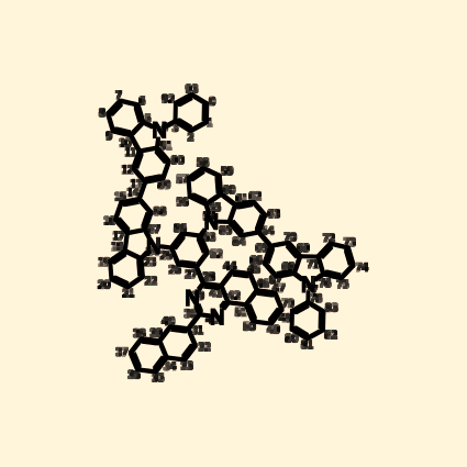 c1ccc(-n2c3ccccc3c3cc(-c4ccc5c6ccccc6n(-c6cc(-c7nc(-c8ccc9ccccc9c8)nc8c7ccc7ccccc78)cc(-n7c8ccccc8c8ccc(-c9ccc%10c(c9)c9ccccc9n%10-c9ccccc9)cc87)c6)c5c4)ccc32)cc1